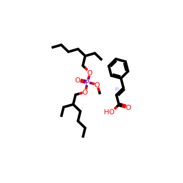 CCCCC(CC)COP(=O)(OC)OCC(CC)CCCC.O=C(O)/C=C/c1ccccc1